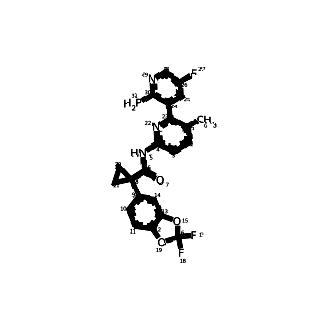 Cc1ccc(NC(=O)C2(c3ccc4c(c3)OC(F)(F)O4)CC2)nc1-c1cc(F)cnc1P